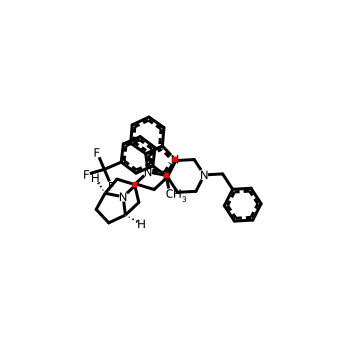 Cc1nc2ccccc2n1C1C[C@H]2CC[C@@H](C1)N2CCC1(c2cccc(C(F)(F)F)c2)CCN(Cc2ccccc2)CC1